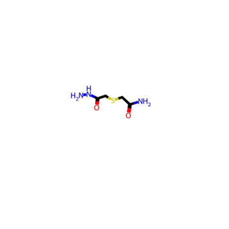 NNC(=O)CSCC(N)=O